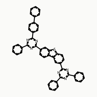 c1ccc(-c2ccc(-c3nc(-c4ccccc4)nc(-c4ccc5c(c4)sc4ccc(-c6nc(-c7ccccc7)nc(-c7ccccc7)n6)cc45)n3)cc2)cc1